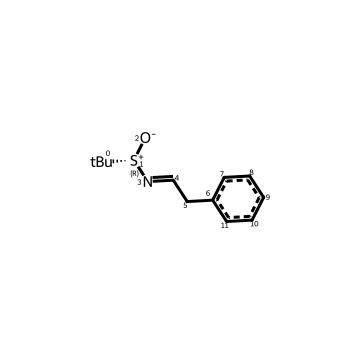 CC(C)(C)[S@+]([O-])N=CCc1ccccc1